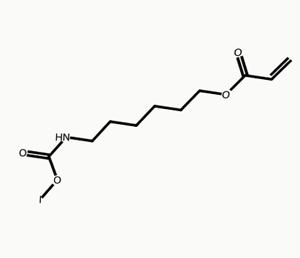 C=CC(=O)OCCCCCCNC(=O)OI